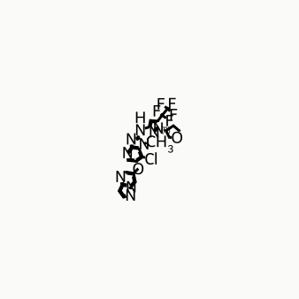 Cn1c(Nc2cc(C(F)(F)C(F)(F)F)n([C@@H]3CCOC3)n2)nc2ncc(Oc3cnc4ccnn4c3)c(Cl)c21